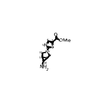 COC(=O)c1cnc(N2CC3C(N)C3C2)s1